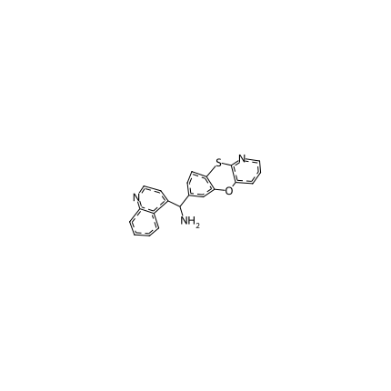 NC(c1ccc2c(c1)Oc1cccnc1S2)c1ccnc2ccccc12